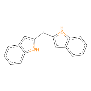 [CH](c1cc2ccccc2[pH]1)c1cc2ccccc2[pH]1